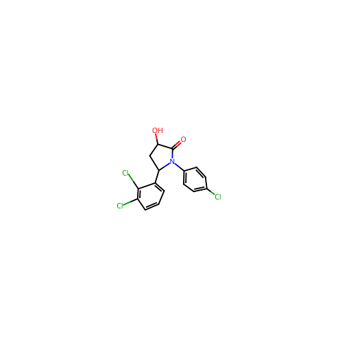 O=C1C(O)CC(c2cccc(Cl)c2Cl)N1c1ccc(Cl)cc1